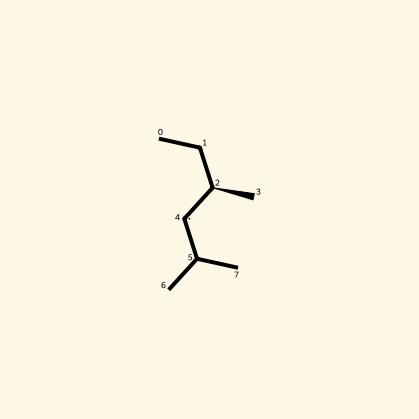 CC[C@@H](C)[CH]C(C)C